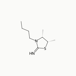 CCCCN1C(=N)S[C@@H](C)[C@H]1C